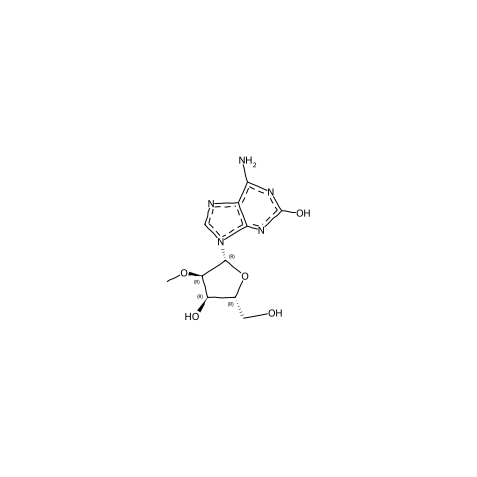 CO[C@@H]1[C@H](O)[C@@H](CO)O[C@H]1n1cnc2c(N)nc(O)nc21